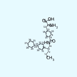 CCCC(CNC(=O)c1ccc(C[C@H](N)C(=O)O)cc1)c1ccc(-c2ccccc2)cc1